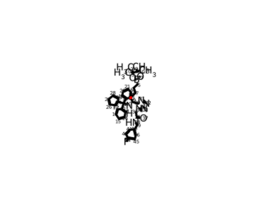 CC1(C)OB(CCCCC(NC(c2ccccc2)(c2ccccc2)c2ccccc2)c2nnnn2CC(=O)NCc2ccc(F)cc2)OC1(C)C